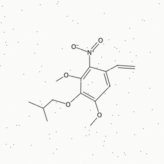 C=Cc1cc(OC)c(OCC(C)C)c(OC)c1[N+](=O)[O-]